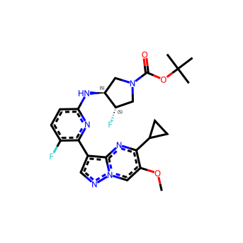 COc1cn2ncc(-c3nc(N[C@H]4CN(C(=O)OC(C)(C)C)C[C@@H]4F)ccc3F)c2nc1C1CC1